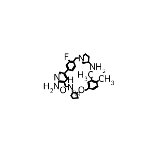 Cc1ccc(CO[C@H]2CCC[C@@H]2NC(=O)c2cc(-c3ccc(CN4CCC(N)C4)c(F)c3)cnc2N)cc1C